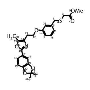 COC(=O)CSCc1cccc(OCCc2nc(-c3ccc4c(c3)OC(F)(F)O4)oc2C)c1